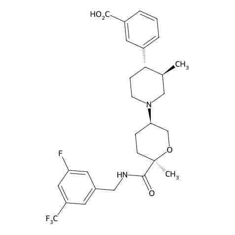 C[C@H]1CN([C@@H]2CC[C@](C)(C(=O)NCc3cc(F)cc(C(F)(F)F)c3)OC2)CC[C@@H]1c1cccc(C(=O)O)c1